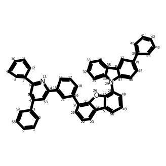 c1ccc(-c2cc(-c3ccccc3)nc(-c3cccc(-c4cccc5c4oc4c(-n6c7ccccc7c7cc(-c8ccccc8)ccc76)cccc45)c3)c2)cc1